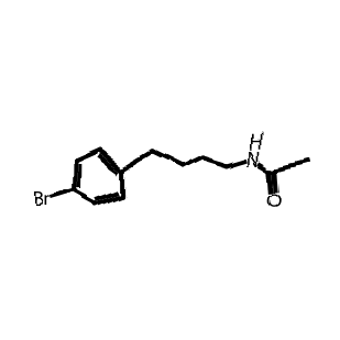 CC(=O)NCCCCc1ccc(Br)cc1